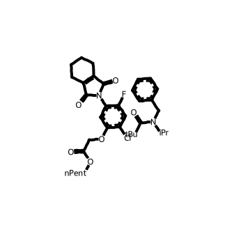 CC(C)N(Cc1ccccc1)C(=O)C(C)(C)C.CCCCCOC(=O)COc1cc(N2C(=O)C3=C(CCCC3)C2=O)c(F)cc1Cl